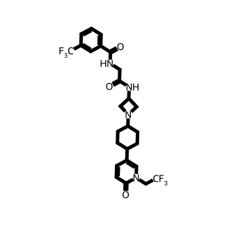 O=C(CNC(=O)c1cccc(C(F)(F)F)c1)NC1CN(C2CCC(c3ccc(=O)n(CC(F)(F)F)c3)CC2)C1